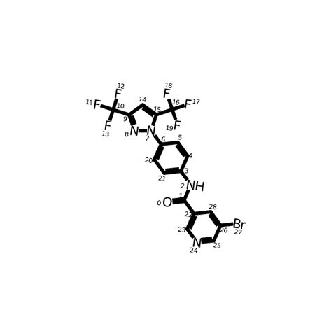 O=C(Nc1ccc(-n2nc(C(F)(F)F)cc2C(F)(F)F)cc1)c1cncc(Br)c1